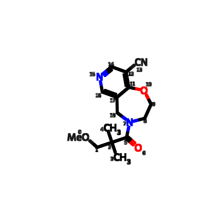 COCC(C)(C)C(=O)N1CCOc2c(C#N)cncc2C1